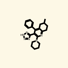 CC1CCc2nc(N3CCCCC3)c(-c3nn[nH]n3)c(-c3ccccc3)c2C1